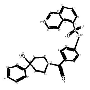 O=C(c1ccc(NS(=O)(=O)c2cccc3cnccc23)cc1)N1CCC(O)(c2ccccc2)CC1